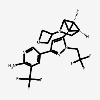 Nc1ncc(-c2cc([C@@]34C5[C@H]3[C@H]4CN5C3COC3)n(CC(F)(F)F)n2)cc1C(F)(F)F